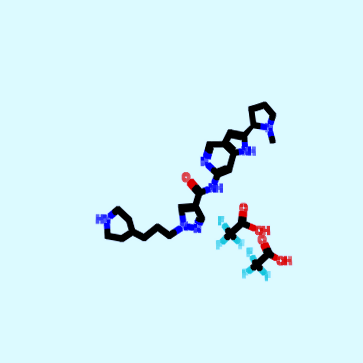 CN1CCC[C@@H]1c1cc2cnc(NC(=O)c3cnn(CCCC4CCNCC4)c3)cc2[nH]1.O=C(O)C(F)(F)F.O=C(O)C(F)(F)F